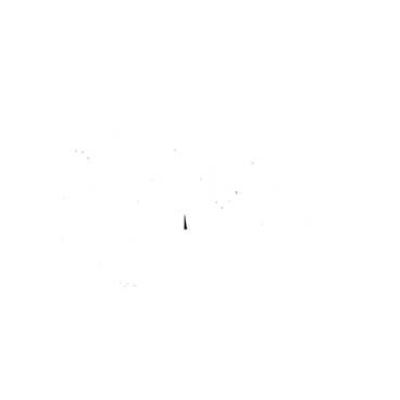 C=CC1(O)CN2CCC1C[C@@H]2[C@@H](O)c1ccnc2ccc(OC)cc12